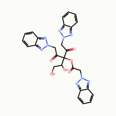 O=C(Cn1nc2ccccc2n1)OC(C(=O)Cn1nc2ccccc2n1)(C(=O)Cn1nc2ccccc2n1)C(O)CO